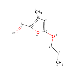 CCCOc1cc(C)c(C=O)o1